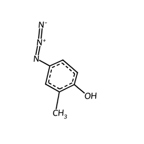 Cc1cc(N=[N+]=[N-])ccc1O